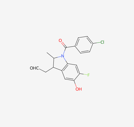 CC1C(CC=O)c2cc(O)c(F)cc2N1C(=O)c1ccc(Cl)cc1